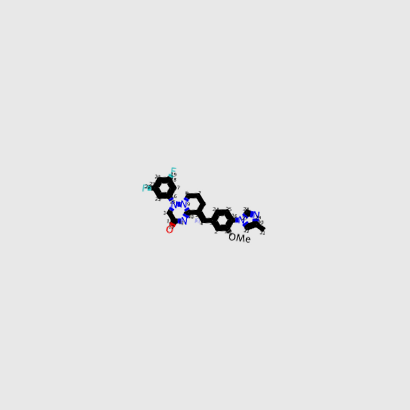 COc1cc(/C=C2\CCCN3C2=NC(=O)CN3c2cc(F)cc(F)c2)ccc1-n1cnc(C)c1